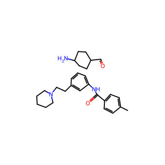 Cc1ccc(C(=O)Nc2cccc(CCN3CCCCC3)c2)cc1.NC1CCC(C=O)CC1